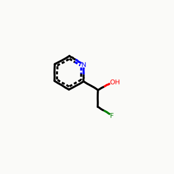 OC(CF)c1ccccn1